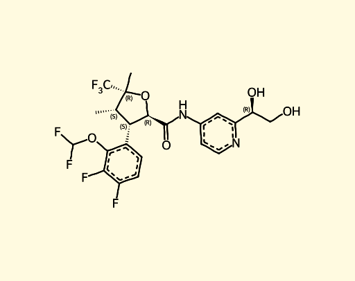 C[C@H]1[C@@H](c2ccc(F)c(F)c2OC(F)F)[C@H](C(=O)Nc2ccnc([C@@H](O)CO)c2)O[C@@]1(C)C(F)(F)F